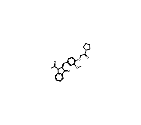 COc1cc(C=C2C(=O)c3ccccc3N2C(C)=O)ccc1OCC(=O)N1CCCC1